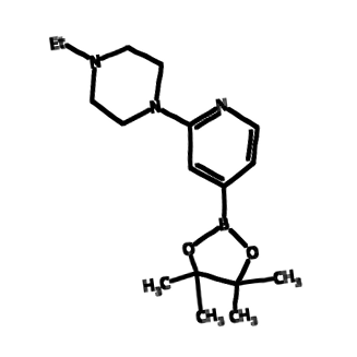 CCN1CCN(c2cc(B3OC(C)(C)C(C)(C)O3)ccn2)CC1